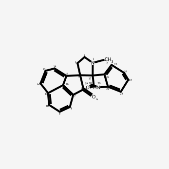 CN1CCC2(C(=O)c3cccc4cccc2c34)C12C(=O)Nc1ccccc12